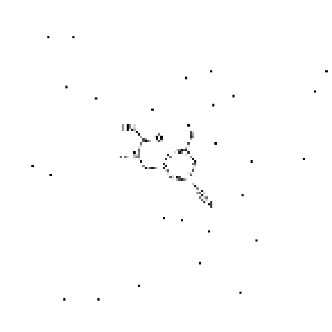 CN(Cc1cc(Br)cc(C#N)c1)C(=O)O